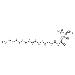 CCCCCCCCC=CCCCCCCCC(=O)OC(=O)C(C)C